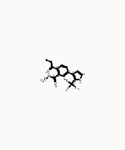 CCC(=O)c1ccc(-c2ccsc2C(F)(F)F)cc1C(=O)ON